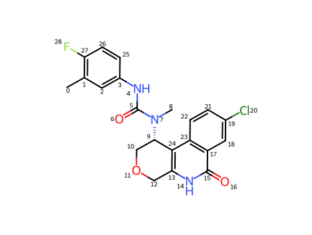 Cc1cc(NC(=O)N(C)[C@H]2COCc3[nH]c(=O)c4cc(Cl)ccc4c32)ccc1F